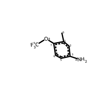 Cc1cc(N)ccc1OC(F)(F)F